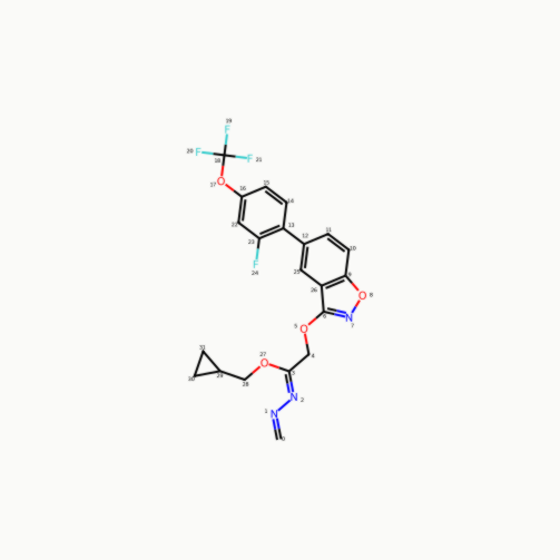 C=N/N=C(/COc1noc2ccc(-c3ccc(OC(F)(F)F)cc3F)cc12)OCC1CC1